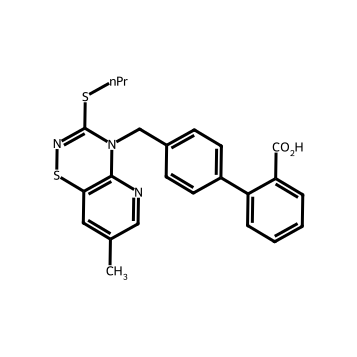 CCCSC1=NSc2cc(C)cnc2N1Cc1ccc(-c2ccccc2C(=O)O)cc1